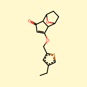 CCc1csc(COC2=CC(=O)C3C4CCC(O4)C23)c1